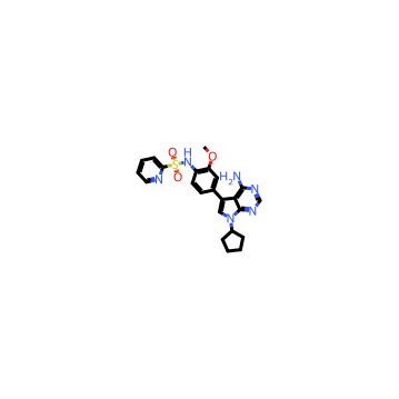 COc1cc(-c2cn(C3CCCC3)c3ncnc(N)c23)ccc1NS(=O)(=O)c1ccccn1